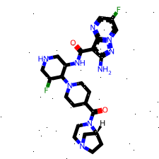 Nc1nn2cc(F)cnc2c1C(=O)NC1CNCC(F)C1N1CCC(C(=O)N2CCN3CC[C@@H]2C3)CC1